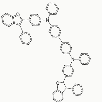 c1ccc(-c2c(-c3ccc(N(c4ccccc4)c4ccc(-c5ccc(N(c6ccccc6)c6ccc(C7Oc8ccccc8C7c7ccccc7)cc6)cc5)cc4)cc3)oc3ccccc23)cc1